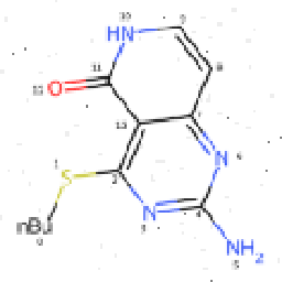 CCCCSc1nc(N)nc2cc[nH]c(=O)c12